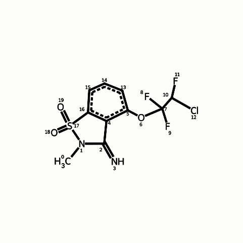 CN1C(=N)c2c(OC(F)(F)C(F)Cl)cccc2S1(=O)=O